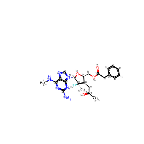 CNc1nc(N)nc2c1ncn2[C@@H]1O[C@H](COC(=O)Cc2ccccc2)[C@@H](CC(C)=O)[C@@]1(C)F